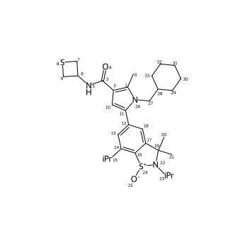 Cc1c(C(=O)NC2CSC2)cc(-c2cc(C(C)C)c3c(c2)C(C)(C)N(C(C)C)[S+]3[O-])n1CC1CCCCC1